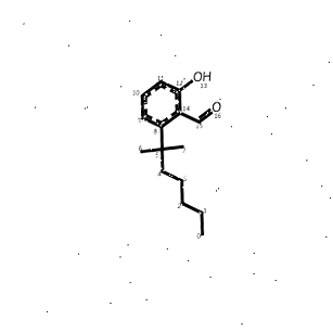 CCCCCC(C)(C)c1cccc(O)c1C=O